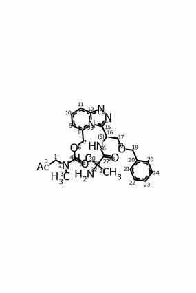 CC(=O)CN(C)C(=O)OCc1cccc2nnc([C@@H](COCc3ccccc3)NC(=O)C(C)(C)N)n12